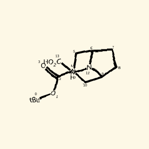 CC(C)(C)OC(=O)N1CC2CCC(C1)N2NC(=O)O